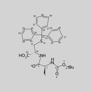 C[C@H](NC(=O)OC(C)(C)C)C(=O)N[C@@H](CSC(c1ccccc1)(c1ccccc1)c1ccccc1)C(=O)O